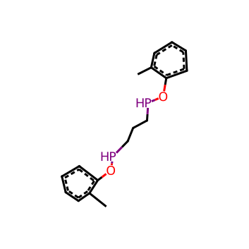 Cc1ccccc1OPCCCPOc1ccccc1C